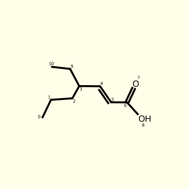 CCCC(/C=C/C(=O)O)CC